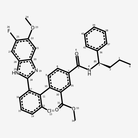 CCC[C@@H](NC(=O)c1ccc(-c2c(Cl)cccc2-c2nc3cc(OC)c(F)cc3[nH]2)c(C(=O)OC)c1)c1ccccc1